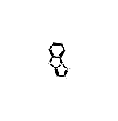 c1ccc2c(c1)[nH]c1cnnn12